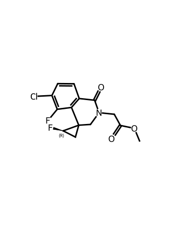 COC(=O)CN1CC2(C[C@H]2F)c2c(ccc(Cl)c2F)C1=O